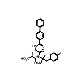 COCC(C[C@H](NC(=O)c1ccc(-c2ccccc2)cc1)C(=O)NC(C)(C)Cc1ccc(F)cc1)C(=O)O